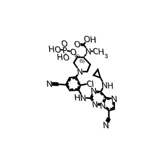 CN(C(=O)O)[C@H]1CCN(c2cc(C#N)cc(Nc3nc(NC4CC4)c4ncc(C#N)n4n3)c2Cl)C[C@@H]1OP(=O)(O)O